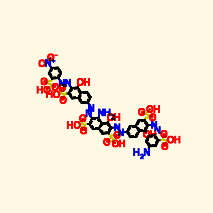 Nc1ccc(/N=N\c2c(S(=O)(=O)O)cc3cc(N=Nc4c(S(=O)(=O)O)cc5cc(S(=O)(=O)O)c(N=Nc6ccc7c(O)c(/N=N/c8ccc([N+](=O)[O-])cc8S(=O)(=O)O)c(S(=O)(=O)O)cc7c6)c(N)c5c4O)ccc3c2O)c(S(=O)(=O)O)c1